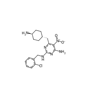 Nc1nc(NCc2ccccc2Cl)nc(C[C@H]2CC[C@H](N)CC2)c1[N+](=O)[O-]